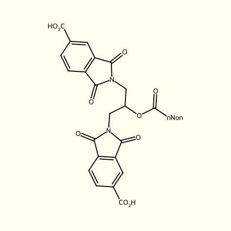 CCCCCCCCCC(=O)OC(CN1C(=O)c2ccc(C(=O)O)cc2C1=O)CN1C(=O)c2ccc(C(=O)O)cc2C1=O